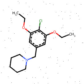 CCOc1cc(CN2CC[CH]CC2)cc(OCC)c1Cl